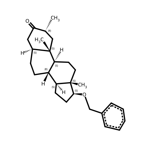 C[C@@H]1C[C@@]2(C)[C@@H](CC[C@@H]3[C@@H]2CC[C@]2(C)[C@@H](OCc4ccccc4)CC[C@@H]32)CC1=O